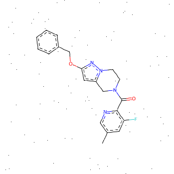 Cc1cnc(C(=O)N2CCn3nc(OCc4ccccc4)cc3C2)c(F)c1